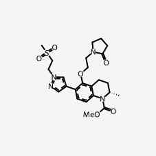 COC(=O)N1c2ccc(-c3cnn(CCS(C)(=O)=O)c3)c(OCCN3CCCC3=O)c2CC[C@@H]1C